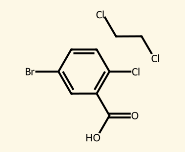 ClCCCl.O=C(O)c1cc(Br)ccc1Cl